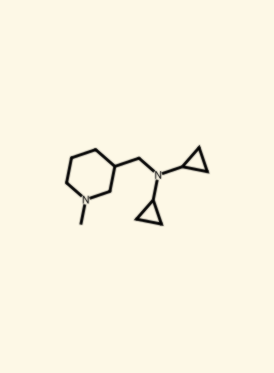 CN1CCCC(CN(C2CC2)C2CC2)C1